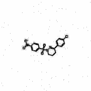 O=[N+]([O-])c1ccc(S(=O)(=O)N2CCCC(c3ccc(Cl)cc3)=N2)cc1